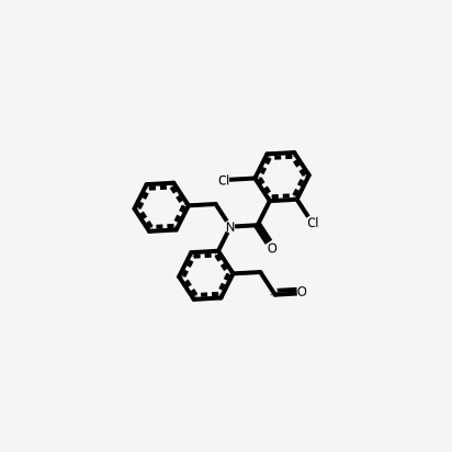 O=[C]Cc1ccccc1N(Cc1ccccc1)C(=O)c1c(Cl)cccc1Cl